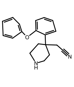 N#CCC1(c2ccccc2Oc2ccccc2)CCNCC1